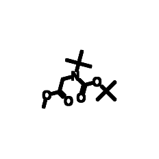 COC(=O)CN(C(=O)OC(C)(C)C)C(C)(C)C